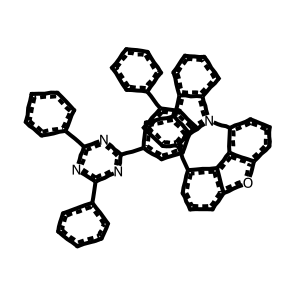 c1ccc(-c2ccc(-c3cccc4oc5cccc(-n6c7ccccc7c7cc(-c8nc(-c9ccccc9)nc(-c9ccccc9)n8)ccc76)c5c34)cc2)cc1